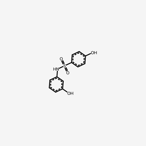 O=S(=O)(Nc1cccc(O)c1)c1ccc(O)cc1